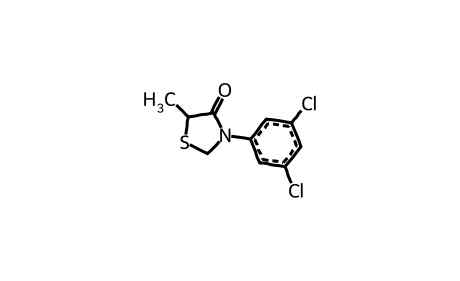 CC1SCN(c2cc(Cl)cc(Cl)c2)C1=O